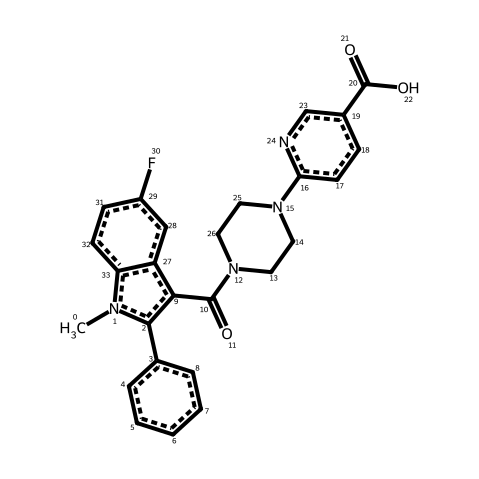 Cn1c(-c2ccccc2)c(C(=O)N2CCN(c3ccc(C(=O)O)cn3)CC2)c2cc(F)ccc21